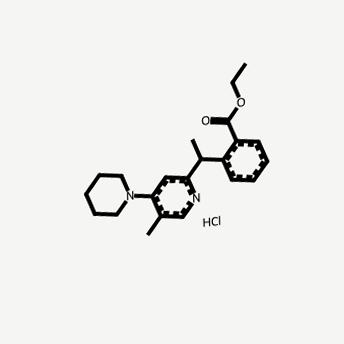 CCOC(=O)c1ccccc1C(C)c1cc(N2CCCCC2)c(C)cn1.Cl